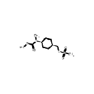 CN(C(=O)OC(C)(C)C)[C@H]1CC[C@@H](COS(C)(=O)=O)CC1